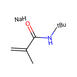 C=C(C)C(=O)NC(C)(C)C.[NaH]